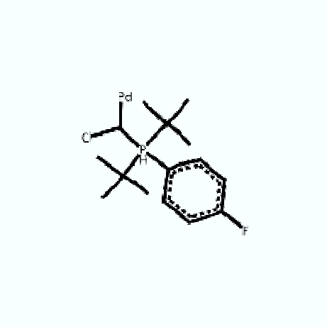 CC(C)(C)[PH](c1ccc(F)cc1)([CH](Cl)[Pd])C(C)(C)C